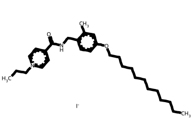 CCCCCCCCCCCCOc1ccc(CNC(=O)c2cc[n+](CCC)cc2)c(C)c1.[I-]